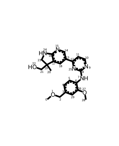 COCc1ccc(Nc2nccc(-c3cnc4c(c3)C(C)(CO)CN4)n2)c(OC)c1